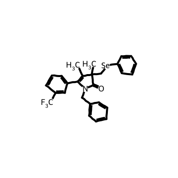 CC1=C(c2cccc(C(F)(F)F)c2)N(Cc2ccccc2)C(=O)C1(C)C[Se]c1ccccc1